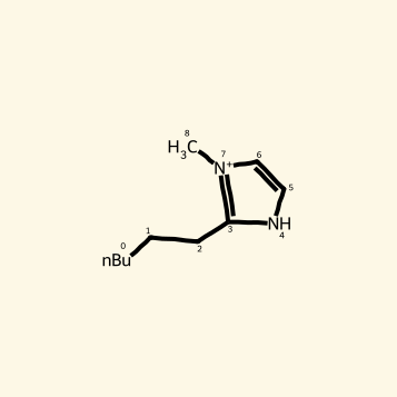 CCCCCCc1[nH]cc[n+]1C